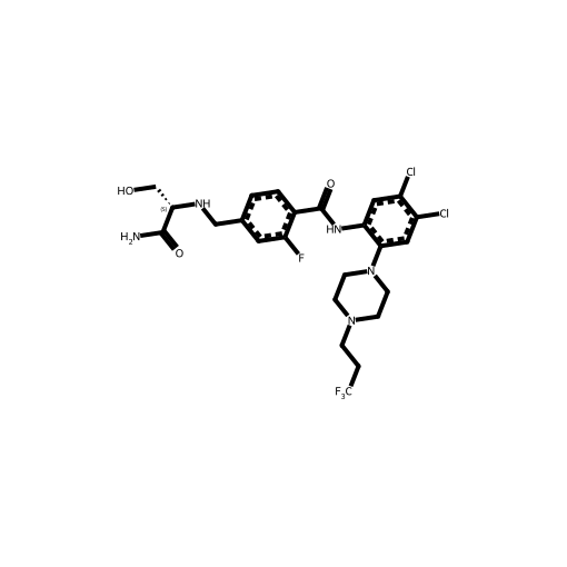 NC(=O)[C@H](CO)NCc1ccc(C(=O)Nc2cc(Cl)c(Cl)cc2N2CCN(CCC(F)(F)F)CC2)c(F)c1